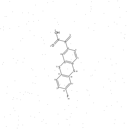 C=C(C(=O)O)c1ccc2c(c1)Sc1ccc(F)cc1S2